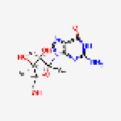 CC(=O)[C@@]1(O)[C@@](O)(C(C)=O)[C@@H](CO)O[C@@]1(C(C)=O)n1cnc2c(=O)[nH]c(N)nc21